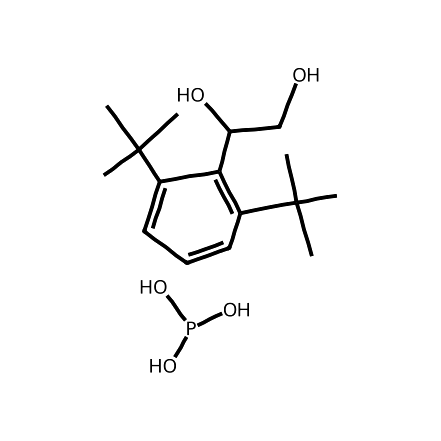 CC(C)(C)c1cccc(C(C)(C)C)c1C(O)CO.OP(O)O